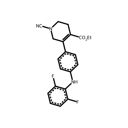 CCOC(=O)C1=C(c2ccc(Nc3c(F)cccc3F)cc2)CN(C#N)CC1